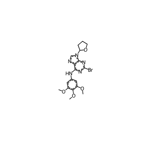 COc1cc(Nc2nc(Br)nc3c2ncn3C2CCCO2)cc(OC)c1OC